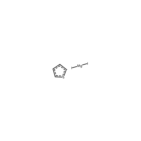 [I][Mg][I].[c]1cccs1